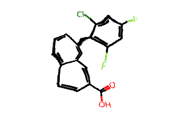 O=C(O)c1ccc2cccc(-c3c(F)cc(F)cc3Cl)c2c1